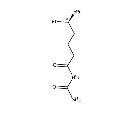 CCC[C@H](CC)CCCC(=O)NC(N)=O